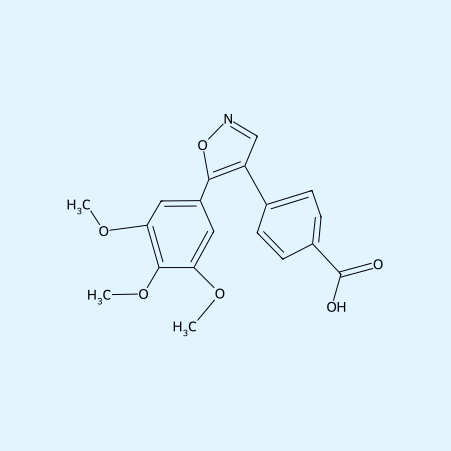 COc1cc(-c2oncc2-c2ccc(C(=O)O)cc2)cc(OC)c1OC